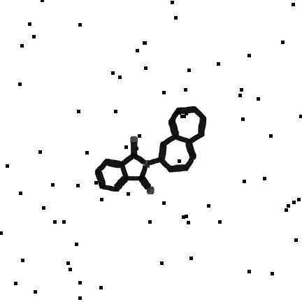 O=C1c2ccccc2C(=O)N1C1=CC2=CC=CC=CC2=CC=C1